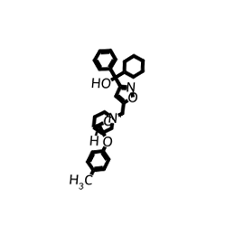 Cc1ccc(O[C@H]2C[N+]3(Cc4cc(C(O)(c5ccccc5)C5CCCCC5)no4)CCC2CC3)cc1